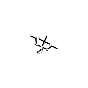 CCO[PH](O)(OCC)C(C)(C)C